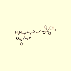 CS(=O)(=O)OCCSc1ccc([N+](=O)[O-])c(N)c1